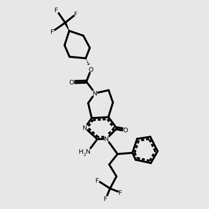 Nc1nc2c(c(=O)n1C(CCC(F)(F)F)c1ccccc1)CCN(C(=O)O[C@H]1CC[C@H](C(F)(F)F)CC1)C2